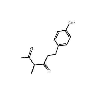 CC(=O)C(C)C(=O)CCc1ccc(O)cc1